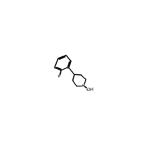 ON1CCC(c2ccccc2F)CC1